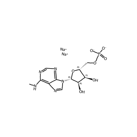 CNc1ncnc2c1ncn2[C@@H]1O[C@H](COP(=O)([O-])[O-])[C@@H](O)[C@H]1O.[Na+].[Na+]